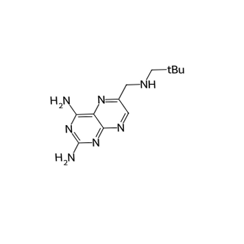 CC(C)(C)CNCc1cnc2nc(N)nc(N)c2n1